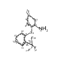 Nc1nc(Cl)cnc1Sc1ccncc1C(F)(F)F